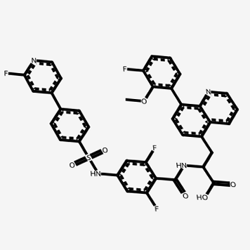 COc1c(F)cccc1-c1ccc(CC(NC(=O)c2c(F)cc(NS(=O)(=O)c3ccc(-c4ccnc(F)c4)cc3)cc2F)C(=O)O)c2cccnc12